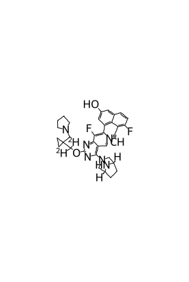 [2H]C([2H])(Oc1nc(N2C[C@H]3CC[C@@H](C2)N3)c2cnc(-c3cc(O)cc4ccc(F)c(C#C)c34)c(F)c2n1)C1(CN2CCCC2)CC1